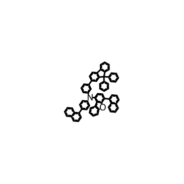 c1ccc(C2(c3ccccc3)c3ccccc3-c3ccc(-c4cccc(N(c5ccc(-c6cccc7ccccc67)cc5)c5ccc(-c6cccc7ccccc67)c6oc7ccccc7c56)c4)cc32)cc1